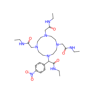 CCNC(=O)CN1CCN(CC(=O)NCC)CCN(C(C(=O)NCC)c2ccc([N+](=O)[O-])cc2)CCN(CC(=O)NCC)CC1